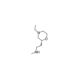 CCN1CCO[C@@H](CCNC)C1